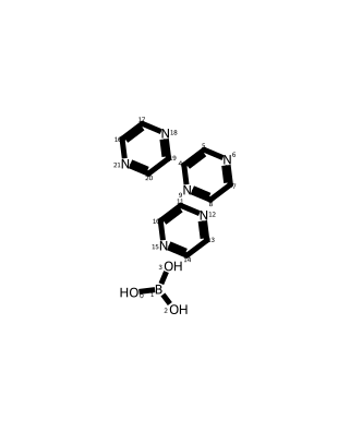 OB(O)O.c1cnccn1.c1cnccn1.c1cnccn1